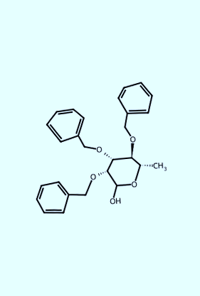 C[C@@H]1OC(O)[C@H](OCc2ccccc2)[C@H](OCc2ccccc2)[C@H]1OCc1ccccc1